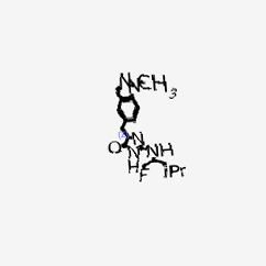 CC(C)CC(CF)NC1=N/C(=C\c2ccc3c(cnn3C)c2)C(=O)N1